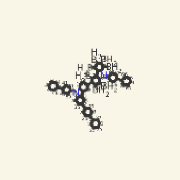 Bc1c(B)c(B)c2c(c1B)c1c(B)c(-c3ccc4c(c3)c3cc(-c5ccc(-c6ccccc6)cc5)ccc3n4-c3ccc(-c4ccccc4)cc3)c(B)c(B)c1n2-c1ccc(-c2ccccc2)cc1